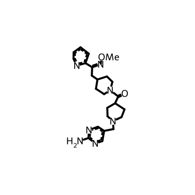 CON=C(CC1CCN(C(=O)C2CCN(Cc3cnc(N)nc3)CC2)CC1)c1ccccn1